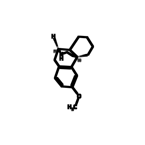 COc1ccc2c(c1)[C@]13CCCCC1[C@H](C2)NCC3